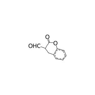 O=CC1Cc2ccccc2OC1=O